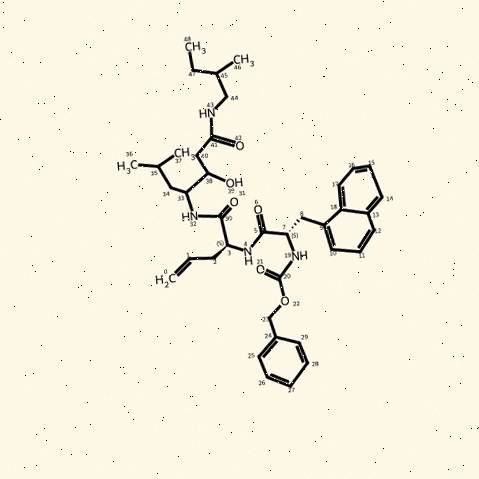 C=CC[C@H](NC(=O)[C@H](Cc1cccc2ccccc12)NC(=O)OCc1ccccc1)C(=O)NC(CC(C)C)C(O)CC(=O)NCC(C)CC